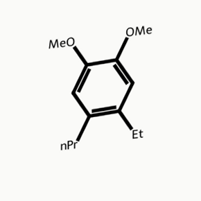 CCCc1cc(OC)c(OC)cc1CC